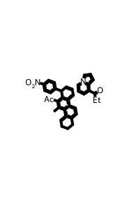 CC(=O)c1c2c(c3ccc4c(c3c1C)=CCCC4)=CC=CC2c1ccc([N+](=O)[O-])cc1.CCC(=O)c1cccn2cccc12